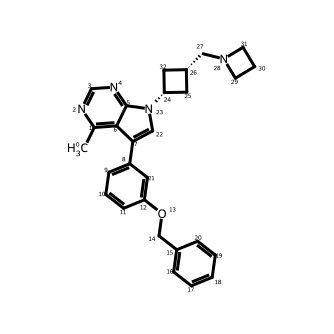 Cc1ncnc2c1c(-c1cccc(OCc3ccccc3)c1)cn2[C@H]1C[C@@H](CN2CCC2)C1